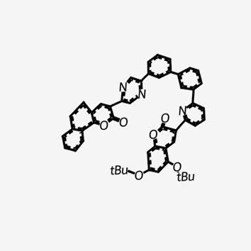 CC(C)(C)Oc1cc(OC(C)(C)C)c2cc(-c3cccc(-c4cccc(-c5cccc(-c6cnc(-c7cc8ccc9ccccc9c8oc7=O)cn6)c5)c4)n3)c(=O)oc2c1